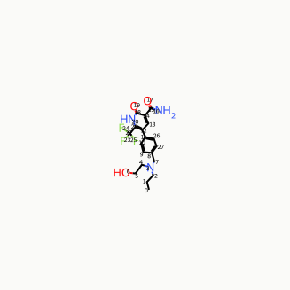 CCCN(CCO)Cc1ccc(-c2cc(C(N)=O)c(=O)[nH]c2C(F)(F)F)cc1